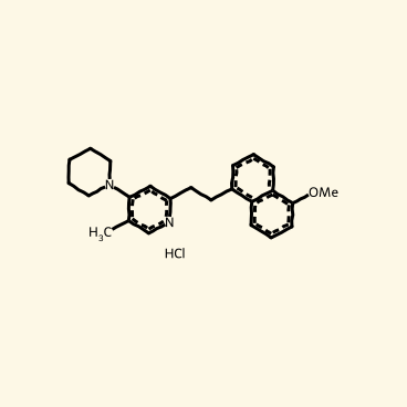 COc1cccc2c(CCc3cc(N4CCCCC4)c(C)cn3)cccc12.Cl